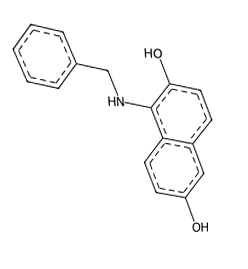 Oc1ccc2c(NCc3ccccc3)c(O)ccc2c1